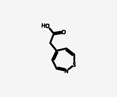 O=C(O)CC1=CC=NSC=C1